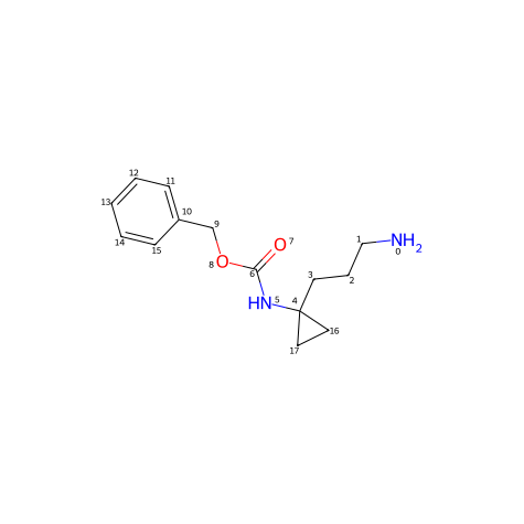 NCCCC1(NC(=O)OCc2ccccc2)CC1